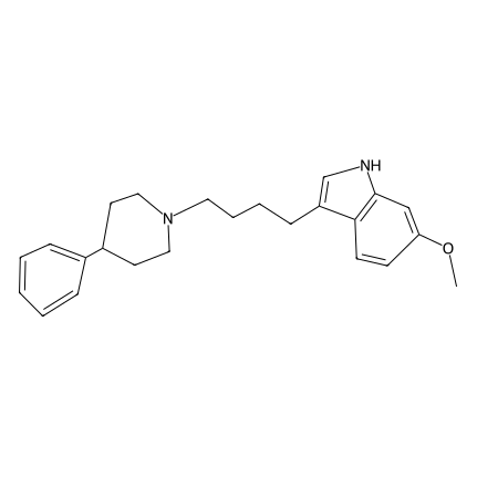 COc1ccc2c(CCCCN3CCC(c4ccccc4)CC3)c[nH]c2c1